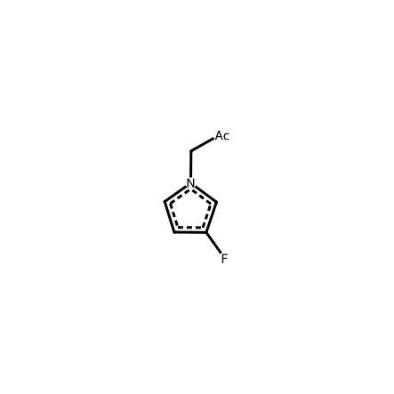 CC(=O)Cn1ccc(F)c1